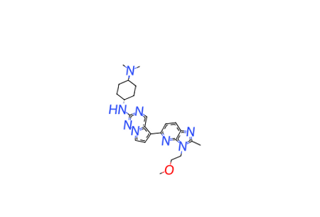 COCCn1c(C)nc2ccc(-c3ccn4nc(N[C@H]5CC[C@H](N(C)C)CC5)ncc34)nc21